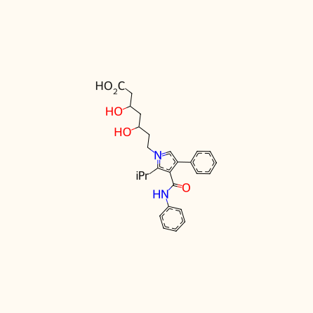 CC(C)c1c(C(=O)Nc2ccccc2)c(-c2ccccc2)cn1CCC(O)CC(O)CC(=O)O